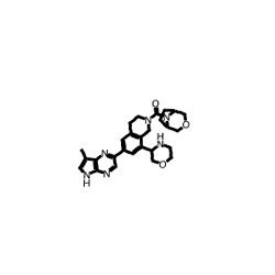 Cc1c[nH]c2ncc(-c3cc4c(c(C5COCCN5)c3)CN(C(=O)N3C5CCC3COC5)CC4)nc12